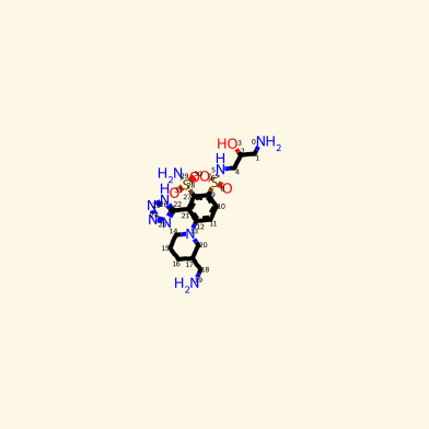 NCC(O)CNS(=O)(=O)c1ccc(N2CCCC(CN)C2)c(-c2nnn[nH]2)c1S(N)(=O)=O